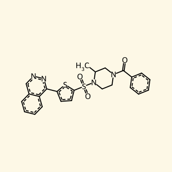 CC1CN(C(=O)c2ccccc2)CCN1S(=O)(=O)c1ccc(-c2nncc3ccccc23)s1